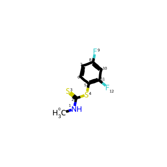 CNC(=S)Sc1ccc(F)cc1F